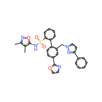 Cc1noc(NS(=O)(=O)c2ccccc2-c2ccc(-c3ncco3)cc2Cn2ccc(-c3ccccc3)n2)c1C